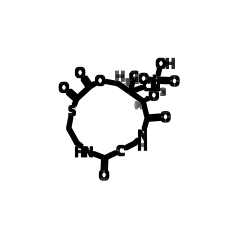 CC1(C)COC(=O)C(=O)SCCNC(=O)CCNC(=O)[C@@H]1OP(=O)(O)O